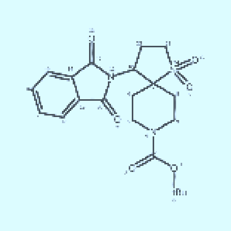 CC(C)(C)OC(=O)N1CCC2(CC1)C(N1C(=O)c3ccccc3C1=O)CCS2(=O)=O